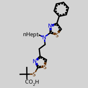 CCCCCCCN(CCc1csc(SC(C)(C)C(=O)O)n1)c1nc(-c2ccccc2)cs1